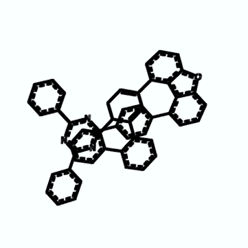 C1=C(c2cccc3oc4cccc(-c5ccc(-c6nc(-c7ccccc7)nc(-c7ccccc7)n6)cc5)c4c23)C=C2c3ccccc3-c3ccccc3C2C1